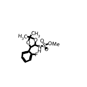 COS(=O)(=O)NC1OC(C)(C)OC1c1ccccc1F